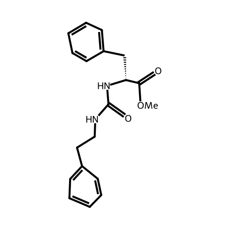 COC(=O)[C@@H](Cc1ccccc1)NC(=O)NCCc1ccccc1